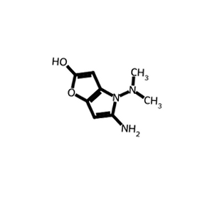 CN(C)n1c(N)cc2oc(O)cc21